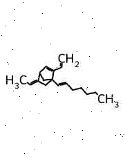 C=CC1=CC2CC1(C=CCCCCC)CC2=CC